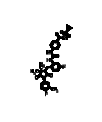 CC1(C)C(=O)N(c2ccc(F)c(C(F)(F)F)c2)C(=O)N1Cc1ccc(F)cc1NC(=O)Nc1ccc(C(=O)NS(=O)(=O)C2CC2)cc1